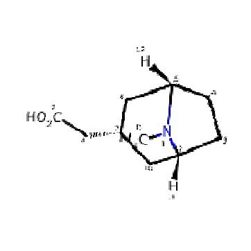 CN1[C@@H]2CC[C@H]1C[C@@H](CC(=O)O)C2